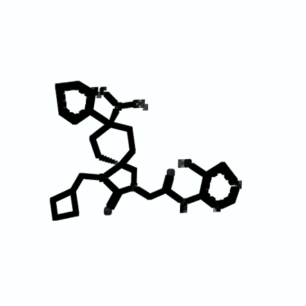 CN(C)[C@]1(c2ccccc2)CC[C@]2(CC1)CN(CC(=O)Nc1ncncc1O)C(=O)N2CC1CCC1